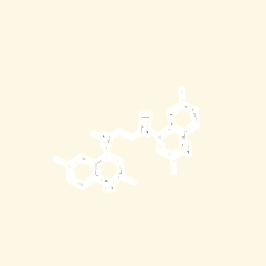 Cc1ccc2nc(C)cc(NCCN(C)c3cc(C)nc4ccc(C)cc34)c2c1